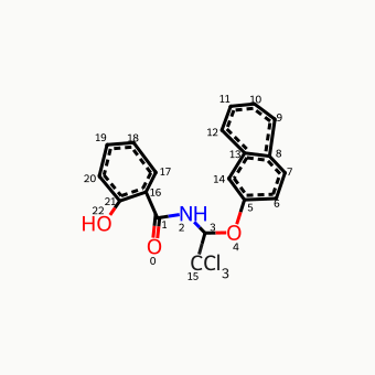 O=C(NC(Oc1ccc2ccccc2c1)C(Cl)(Cl)Cl)c1ccccc1O